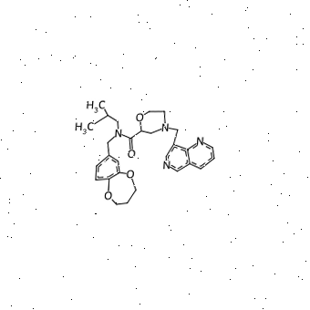 CC(C)CN(Cc1ccc2c(c1)OCCCO2)C(=O)C1CN(Cc2cncc3cccnc23)CCO1